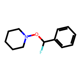 FC(ON1CCCCC1)c1ccccc1